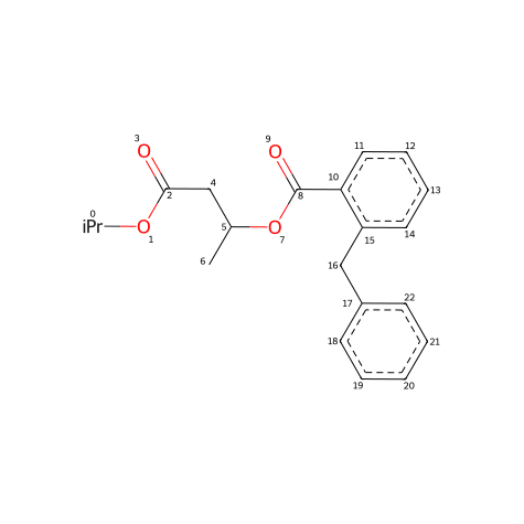 CC(C)OC(=O)CC(C)OC(=O)c1ccccc1Cc1ccccc1